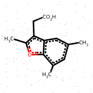 Cc1cc(C)c2oc(C)c(CC(=O)O)c2c1